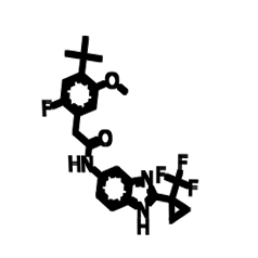 COc1cc(CC(=O)Nc2ccc3[nH]c(C4(C(F)(F)F)CC4)nc3c2)c(F)cc1C(C)(C)C